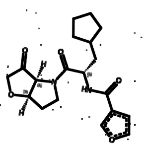 O=C(N[C@@H](CC1CCCC1)C(=O)N1CC[C@H]2OCC(=O)[C@H]21)c1ccoc1